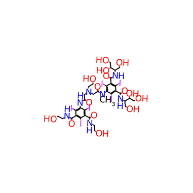 CN(C(=O)CN(CCO)CC(=O)Nc1c(I)c(C(=O)NCCO)c(I)c(C(=O)NCCO)c1I)c1c(I)c(C(=O)NC(CO)C(O)CO)c(I)c(C(=O)NC(CO)C(O)CO)c1I